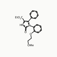 CCOC(=O)c1[nH]c(=O)n(-c2ccccc2OCCOC)c1-c1ccccc1